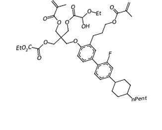 C=C(C)C(=O)OCCCc1cc(-c2ccc(C3CCC(CCCCC)CC3)cc2F)ccc1OCC(COC(=O)C(=C)C)(COC(=O)C(=O)OCC)COC(=O)C(O)OCC